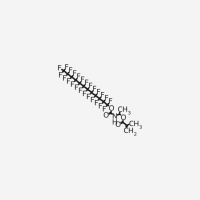 C=C(C)C(=O)OC(C)NC(=O)OC(F)(F)C(F)(F)C(F)(F)C(F)(F)C(F)(F)C(F)(F)C(F)(F)C(F)(F)C(F)(F)C(F)(F)C(F)(F)C(F)(F)F